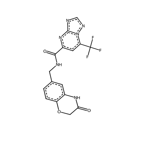 O=C1COc2ccc(CNC(=O)c3cc(C(F)(F)F)n4ncnc4n3)cc2N1